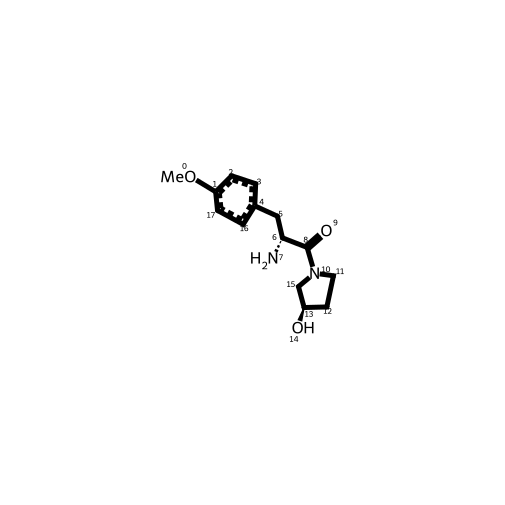 COc1ccc(C[C@@H](N)C(=O)N2CC[C@@H](O)C2)cc1